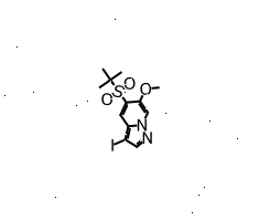 COc1cn2ncc(I)c2cc1S(=O)(=O)C(C)(C)C